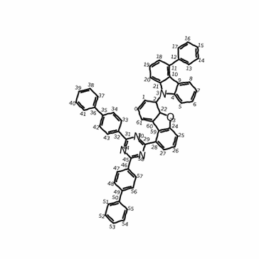 C1=CC(n2c3ccccc3c3c(-c4ccccc4)cccc32)C2Oc3cccc(-c4nc(-c5ccc(-c6ccccc6)cc5)nc(-c5ccc(-c6ccccc6)cc5)n4)c3C2=C1